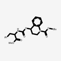 COC(=O)C(CC(C)C)NC(=O)OC1CCN(C(=O)OC(C)(C)C)c2ccccc21